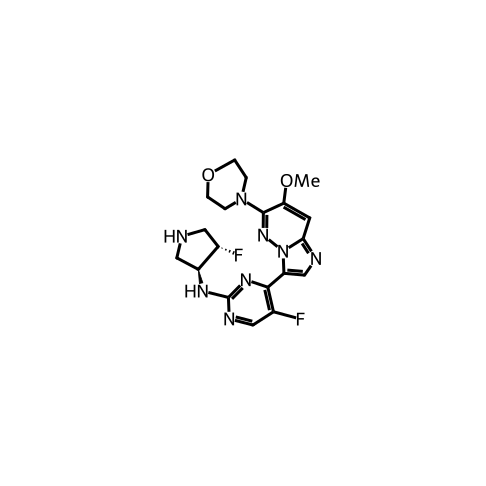 COc1cc2ncc(-c3nc(N[C@H]4CNC[C@@H]4F)ncc3F)n2nc1N1CCOCC1